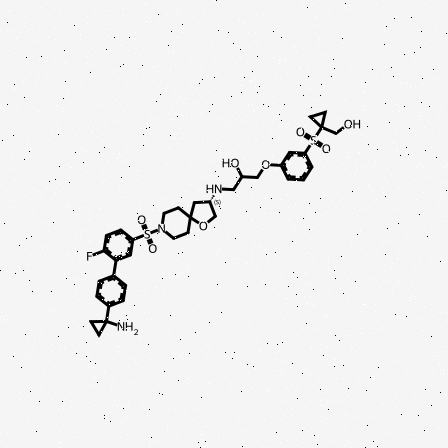 NC1(c2ccc(-c3cc(S(=O)(=O)N4CCC5(CC4)C[C@H](NCC(O)COc4cccc(S(=O)(=O)C6(CO)CC6)c4)CO5)ccc3F)cc2)CC1